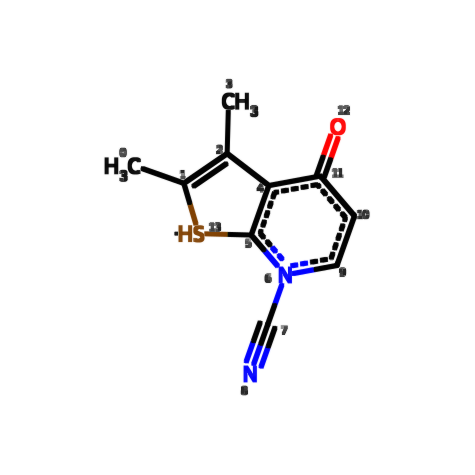 CC1=C(C)c2c(n(C#N)ccc2=O)[SH]1